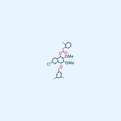 COc1c(OC)c(OC(=O)Cc2ccccc2C)c2ccc(Cl)cc2c1OCc1cc(C)cc(C)c1